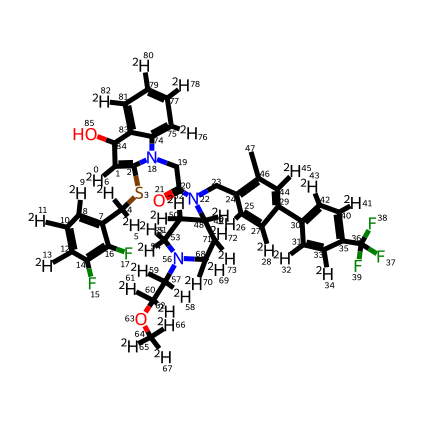 [2H]C1=C(SC([2H])([2H])c2c([2H])c([2H])c([2H])c(F)c2F)N(CC(=O)N(Cc2c([2H])c([2H])c(-c3c([2H])c([2H])c(C(F)(F)F)c([2H])c3[2H])c([2H])c2C)C2([2H])C([2H])([2H])C([2H])([2H])N(C([2H])([2H])C([2H])([2H])OC([2H])([2H])[2H])C([2H])([2H])C2([2H])[2H])c2c([2H])c([2H])c([2H])c([2H])c2C1O